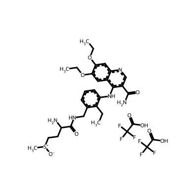 CCOc1cc2ncc(C(N)=O)c(Nc3cccc(CNC(=O)C(N)CC[S+](C)[O-])c3CC)c2cc1OCC.O=C(O)C(F)(F)F.O=C(O)C(F)(F)F